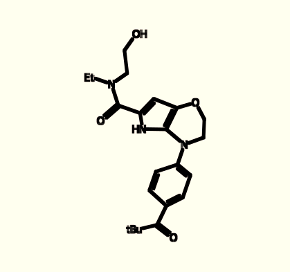 CCN(CCO)C(=O)c1cc2c([nH]1)N(c1ccc(C(=O)C(C)(C)C)cc1)CCO2